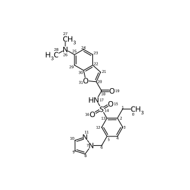 CCc1ccc(Cn2cccn2)cc1S(=O)(=O)NC(=O)c1cc2ccc(N(C)C)cc2o1